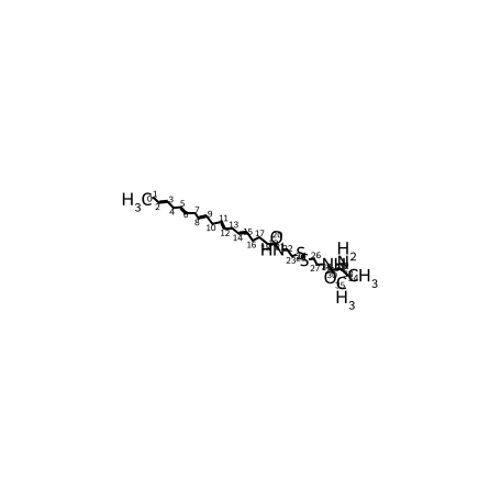 CCC=CCC=CCC=CCC=CCC=CCCCC(=O)NCCSSCCNC(=O)[C@@H](N)C(C)C